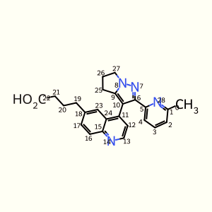 Cc1cccc(-c2nn3c(c2-c2ccnc4ccc(CCCC(=O)O)cc24)CCC3)n1